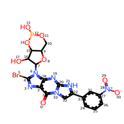 O=c1c2nc(Br)n(C3OC4COP(O)OC4C3O)c2nc2[nH]c(-c3cccc([N+](=O)[O-])c3)cn12